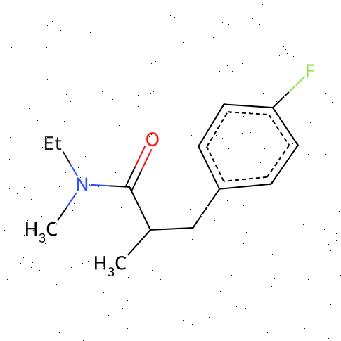 CCN(C)C(=O)C(C)Cc1ccc(F)cc1